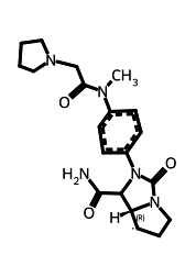 CN(C(=O)CN1CCCC1)c1ccc(N2C(=O)N3CC[CH][C@@H]3C2C(N)=O)cc1